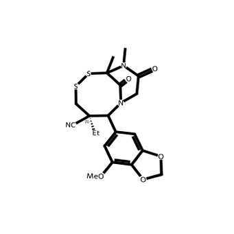 CC[C@]1(C#N)CSSC2(C)C(=O)N(CC(=O)N2C)C1c1cc(OC)c2c(c1)OCO2